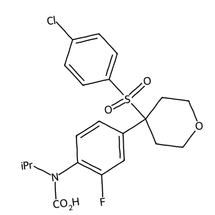 CC(C)N(C(=O)O)c1ccc(C2(S(=O)(=O)c3ccc(Cl)cc3)CCOCC2)cc1F